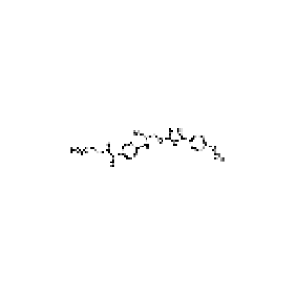 CCC(C)C(COc1nnc(-c2ccc(OC(F)(F)F)cc2)o1)Nc1ccc(C(=O)NCCC(=O)O)cc1